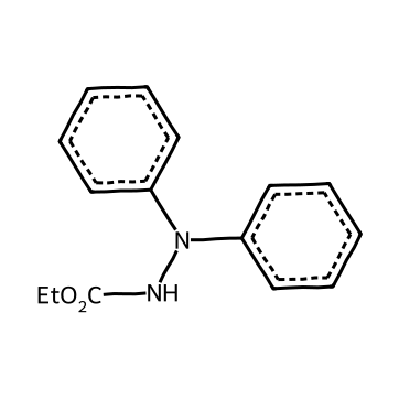 CCOC(=O)NN(c1ccccc1)c1ccccc1